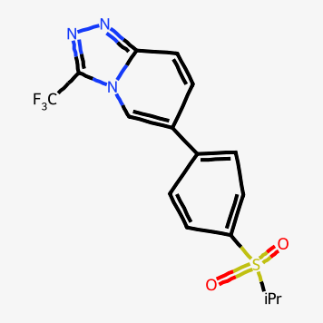 CC(C)S(=O)(=O)c1ccc(-c2ccc3nnc(C(F)(F)F)n3c2)cc1